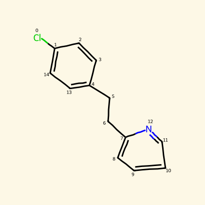 Clc1ccc(CCc2ccccn2)cc1